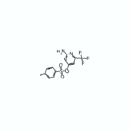 Cc1ccc(S(=O)(=O)Oc2cc(C(F)(F)F)nc(N)n2)cc1